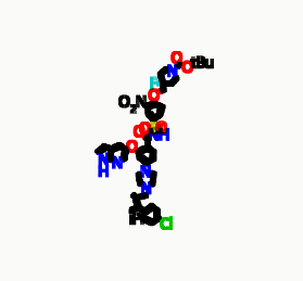 C/C(CN1CCN(c2ccc(C(=O)NS(=O)(=O)c3ccc(OCC4(F)CCN(C(=O)OC(C)(C)C)CC4)c([N+](=O)[O-])c3)c(Oc3cnc4[nH]ccc4c3)c2)CC1)=C(\CC(C)C)c1ccc(Cl)cc1